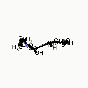 C=C1C(=O)O[C@H]2[C@H]1CC/C(COC(=O)OCCC(CCO)OCCCCCCCCCCn1cc(CNC(=O)CCCCC3SCC4NC(=O)NC43)nn1)=C\CC[C@@]1(C)O[C@@H]21